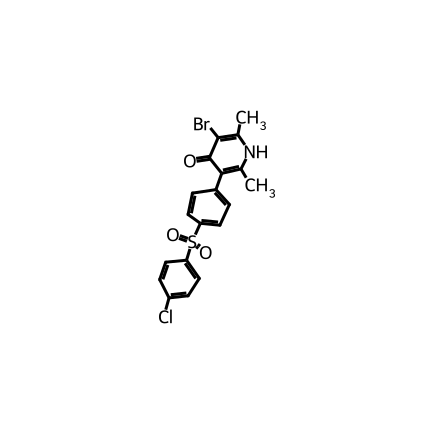 Cc1[nH]c(C)c(-c2ccc(S(=O)(=O)c3ccc(Cl)cc3)cc2)c(=O)c1Br